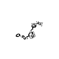 O=C1NC(=O)C(Nc2ccc(CCN(C[C@H](O)COc3ccc(Oc4ccccc4)cc3)C(=O)O)cc2)S1